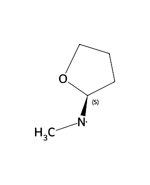 C[N][C@@H]1CCCO1